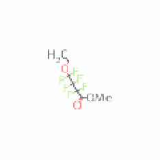 C=COC(F)(F)C(F)(F)C(F)(F)C(=O)OC